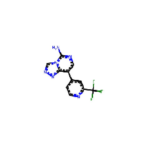 Nc1ncc(-c2ccnc(C(F)(F)F)c2)c2nncn12